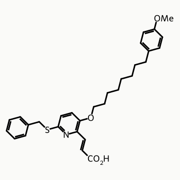 COc1ccc(CCCCCCCCOc2ccc(SCc3ccccc3)nc2C=CC(=O)O)cc1